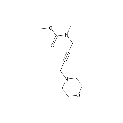 COC(=O)N(C)CC#CCN1CCOCC1